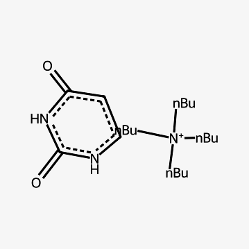 CCCC[N+](CCCC)(CCCC)CCCC.O=c1cc[nH]c(=O)[nH]1